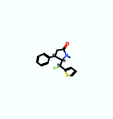 CN1C(=O)C[C@H](c2ccccc2)[C@@H]1[C@@H](F)c1cccs1